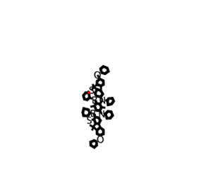 Cc1c2c(c(C)c3c1B1c4ccccc4S4(C)c5c1c(cc1c5C4(C)c4cc(Oc5ccccc5)ccc4-1)N3c1ccccc1)N(c1ccccc1)c1cc3c(c4c1B2c1ccccc1S4)C(C)(C)c1cc(Oc2ccccc2)ccc1-3